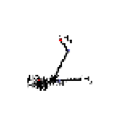 CCCCCCCC/C=C\CCCCCCCCCCCCCCCC(=O)N[C@@H](CO[C@@H]1OC(CO)[C@@H](O[C@@H]2OC(CO)[C@H](O)[C@H](O)C2O)[C@H](O)C1O)[C@H](O)/C=C/CCCCCCCCCCCCC